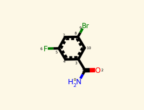 NC(=O)c1cc(F)cc(Br)c1